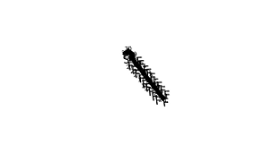 FC(F)(F)C(F)(F)C(F)(F)C(F)(F)C(F)(F)C(F)(F)C(F)(F)C(F)(F)C(F)(F)c1cccs1